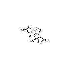 Cc1ccc2c(c1)c(=O)c1c(c(=O)c3cc(C)ccc3n1C)n2C